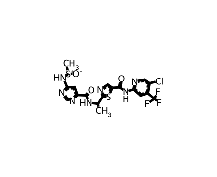 CC(NC(=O)c1cc(N[S+](C)[O-])ncn1)c1ncc(C(=O)Nc2cc(C(F)(F)F)c(Cl)cn2)s1